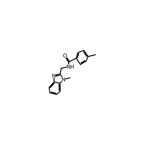 Cc1ccc(C(=O)NCc2nc3ccccc3n2C)cc1